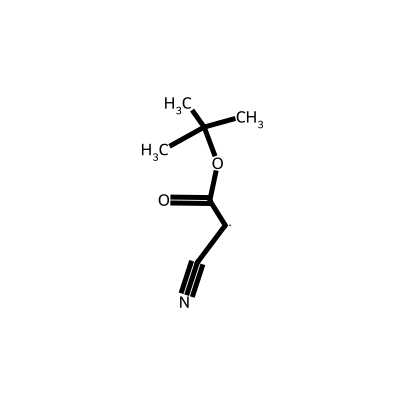 CC(C)(C)OC(=O)[CH]C#N